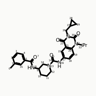 Cc1cccc(C(=O)NC2CCCN(C(=O)Nc3ccc4c(c3)c(=O)n(CC3CC3)c(=O)n4C(C)C)C2)c1